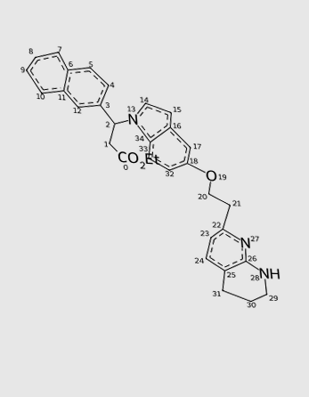 CCOC(=O)CC(c1ccc2ccccc2c1)n1ccc2cc(OCCc3ccc4c(n3)NCCC4)ccc21